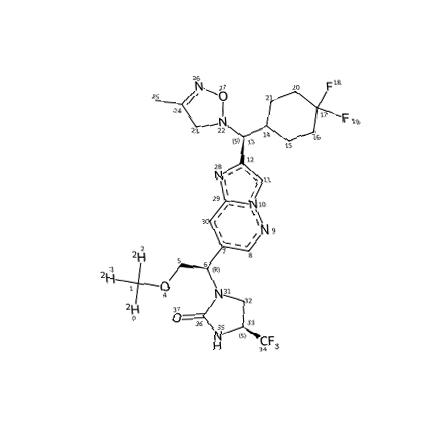 [2H]C([2H])([2H])OC[C@@H](c1cnn2cc([C@H](C3CCC(F)(F)CC3)N3CC(C)=NO3)nc2c1)N1C[C@@H](C(F)(F)F)NC1=O